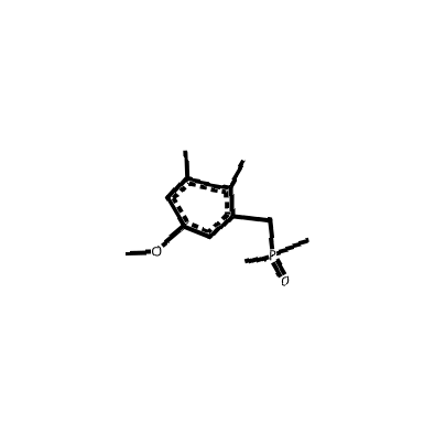 COc1cc(C)c(C)c(CP(C)(C)=O)c1